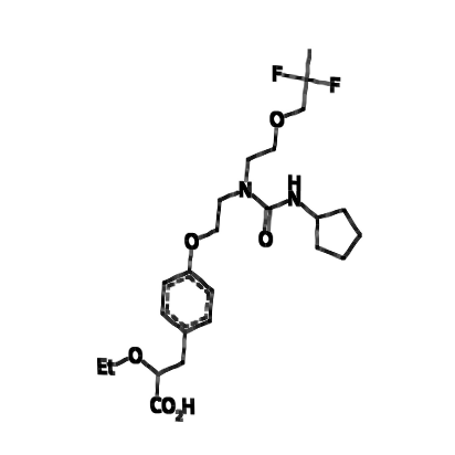 CCOC(Cc1ccc(OCCN(CCOCC(C)(F)F)C(=O)NC2CCCC2)cc1)C(=O)O